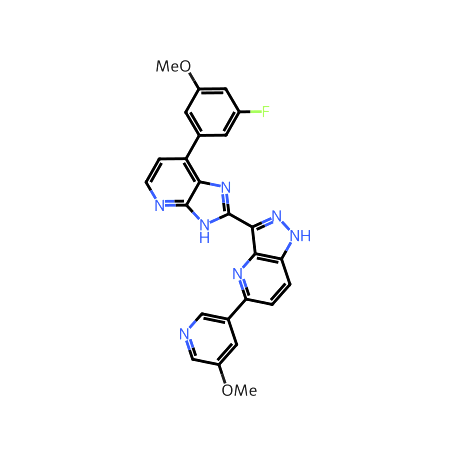 COc1cncc(-c2ccc3[nH]nc(-c4nc5c(-c6cc(F)cc(OC)c6)ccnc5[nH]4)c3n2)c1